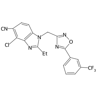 [C-]#[N+]c1ccc2c(nc(CC)n2Cc2noc(-c3cccc(C(F)(F)F)c3)n2)c1Cl